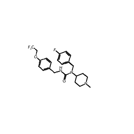 CN1CCC(N(Cc2ccc(F)cc2)C(=O)NCc2ccc(OCC(F)(F)F)cc2)CC1